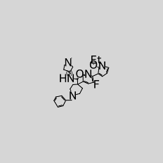 CCOc1ncccc1-c1ncc(C2(C(=O)N[C@H]3CCN(C)C3)CCN(Cc3ccccc3)CC2)cc1F